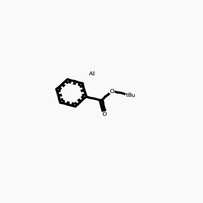 CC(C)(C)OC(=O)c1ccccc1.[Al]